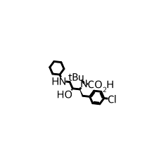 CC(C)(C)N(C(=O)O)[C@@H](Cc1ccc(Cl)cc1)[C@@H](O)CNC1CCCCC1